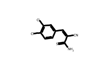 N#CC(=Cc1ccc(Cl)c(Cl)c1)C(N)=S